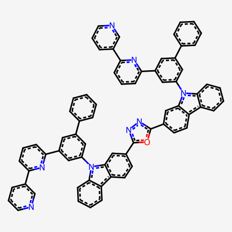 c1ccc(-c2cc(-c3cccc(-c4cccnc4)n3)cc(-n3c4ccccc4c4ccc(-c5nnc(-c6ccc7c8ccccc8n(-c8cc(-c9ccccc9)cc(-c9cccc(-c%10cccnc%10)n9)c8)c7c6)o5)cc43)c2)cc1